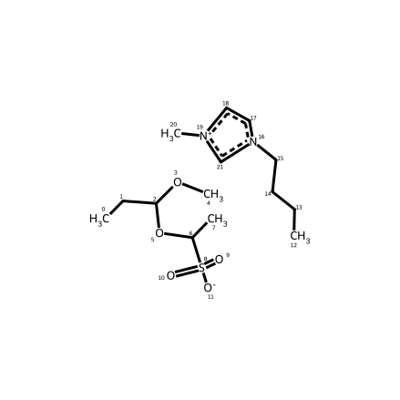 CCC(OC)OC(C)S(=O)(=O)[O-].CCCCn1cc[n+](C)c1